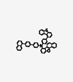 c1ccc2c(-c3ccc(-c4ccc(N(c5ccc(-c6cccc7sc8ccccc8c67)cc5)c5cccc6oc7c8ccccc8ccc7c56)cc4)cc3)cccc2c1